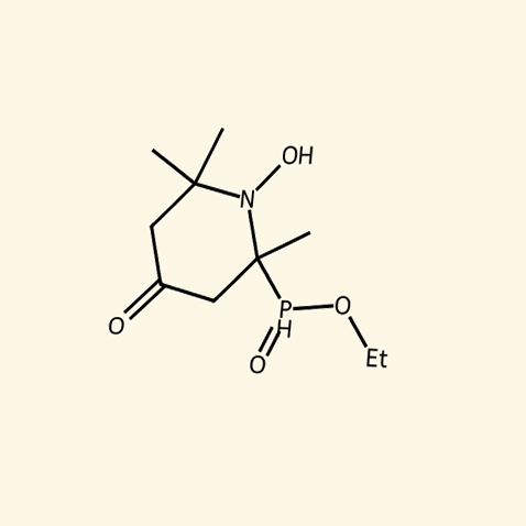 CCO[PH](=O)C1(C)CC(=O)CC(C)(C)N1O